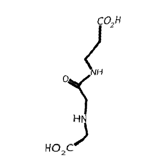 O=C(O)CCNC(=O)CNCC(=O)O